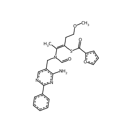 COCC/C(SC(=O)c1ccco1)=C(\C)N(C=O)Cc1cnc(-c2ccccc2)nc1N